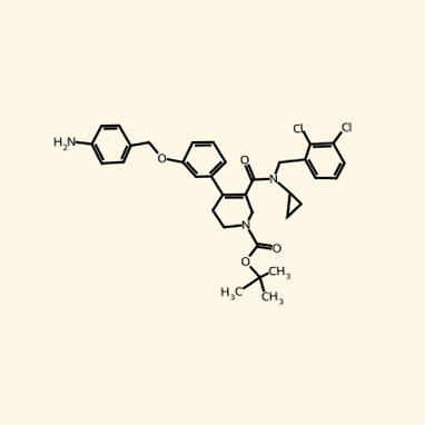 CC(C)(C)OC(=O)N1CCC(c2cccc(OCc3ccc(N)cc3)c2)=C(C(=O)N(Cc2cccc(Cl)c2Cl)C2CC2)C1